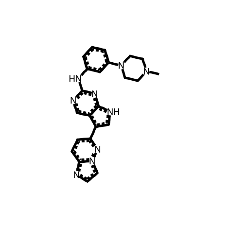 CN1CCN(c2cccc(Nc3ncc4c(-c5ccc6nccn6n5)c[nH]c4n3)c2)CC1